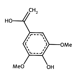 C=C(O)c1cc(OC)c(O)c(OC)c1